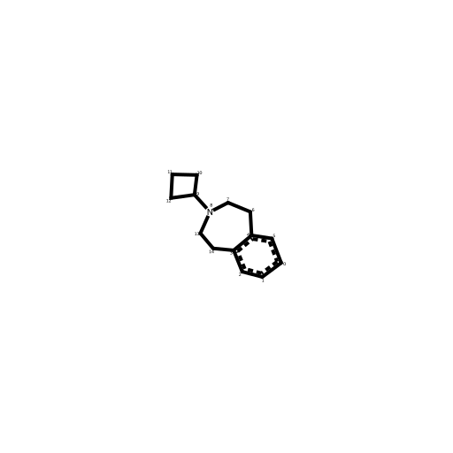 c1ccc2c(c1)CCN(C1CCC1)CC2